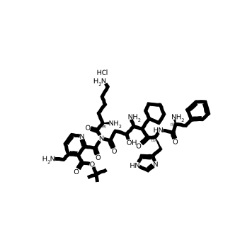 CC(C)(C)OC(=O)c1c(CN)ccnc1C(=O)N(C(=O)CC(O)C(N)C(C(=O)[C@H](Cc1c[nH]cn1)NC(=O)[C@@H](N)Cc1ccccc1)C1CCCCC1)C(=O)[C@H](N)CCCCN.Cl